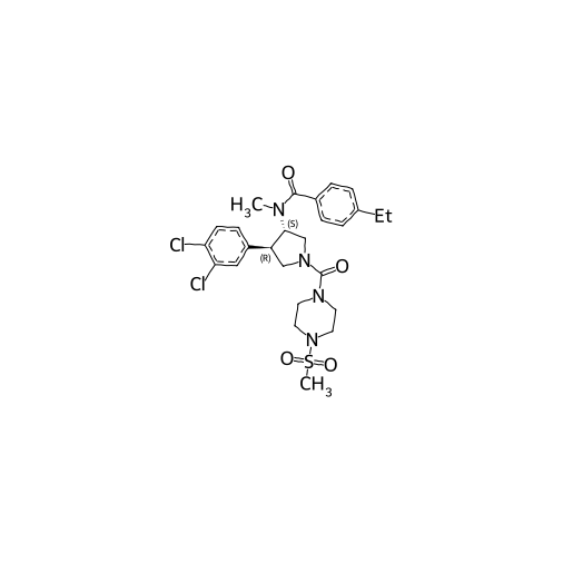 CCc1ccc(C(=O)N(C)[C@@H]2CN(C(=O)N3CCN(S(C)(=O)=O)CC3)C[C@H]2c2ccc(Cl)c(Cl)c2)cc1